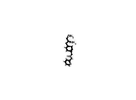 NCC(N)Cc1ccc(CNCc2ccccn2)cc1